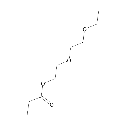 CCOCCOCCOC(=O)CC